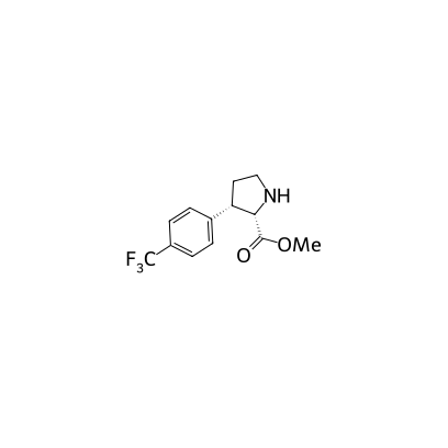 COC(=O)[C@H]1NCC[C@H]1c1ccc(C(F)(F)F)cc1